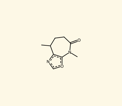 CC1CCC(=O)N(C)c2ocnc21